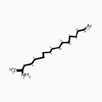 C=C(N)CCCCCCCCCCCCCCC(C)=O